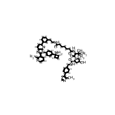 Cc1ncsc1-c1ccc(CNC(=O)[C@@H]2C[C@@H](O)CN2C(=O)[C@@H](NC(=O)CCCCCC(=O)NCCc2cccc(-c3ccc4nc(-c5cccnc5N)n(-c5ccc(C6(N)CCC6)cc5)c4n3)c2)C(C)(C)C)cc1